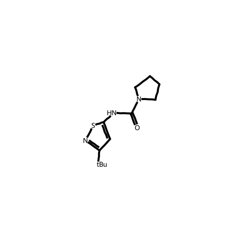 CC(C)(C)c1cc(NC(=O)N2CCCC2)sn1